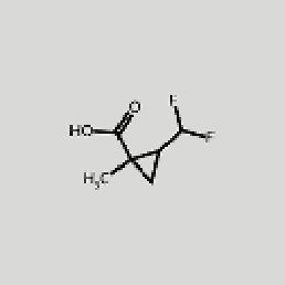 CC1(C(=O)O)CC1C(F)F